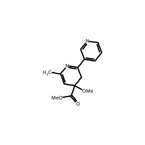 COC(=O)C1(OC)C=C(C)N=C(c2cccnc2)C1